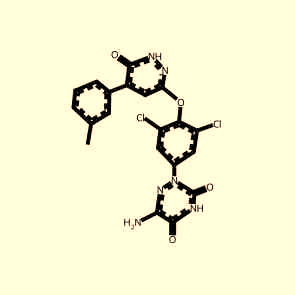 Cc1cccc(-c2cc(Oc3c(Cl)cc(-n4nc(N)c(=O)[nH]c4=O)cc3Cl)n[nH]c2=O)c1